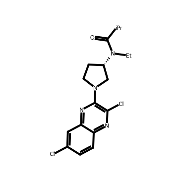 CCN(C(=O)C(C)C)[C@H]1CCN(c2nc3cc(Cl)ccc3nc2Cl)C1